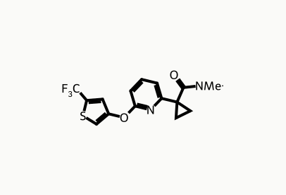 C[N]C(=O)C1(c2cccc(Oc3csc(C(F)(F)F)c3)n2)CC1